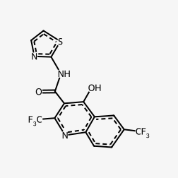 O=C(Nc1nccs1)c1c(C(F)(F)F)nc2ccc(C(F)(F)F)cc2c1O